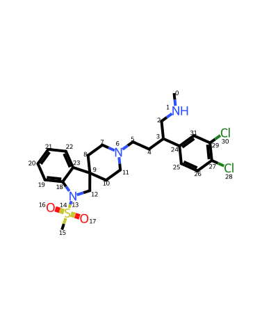 CNCC(CCN1CCC2(CC1)CN(S(C)(=O)=O)c1ccccc12)c1ccc(Cl)c(Cl)c1